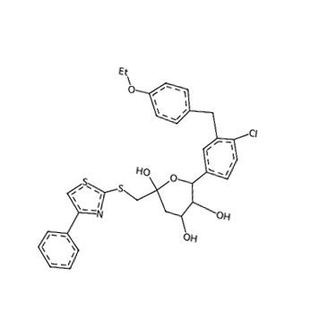 CCOc1ccc(Cc2cc(C3OC(O)(CSc4nc(-c5ccccc5)cs4)CC(O)C3O)ccc2Cl)cc1